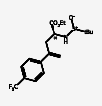 C=C(C[C@H](N[S+]([O-])C(C)(C)C)C(=O)OCC)c1ccc(C(F)(F)F)cc1